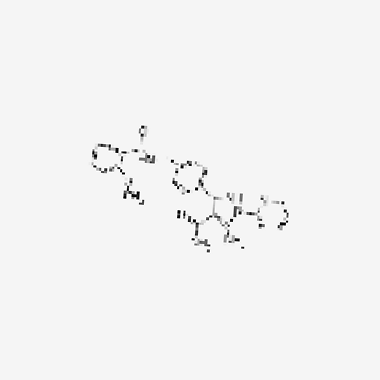 COc1ccccc1C(=O)NCc1ccc(C2NN(c3ccccn3)C(N)=C2C(N)=O)cc1